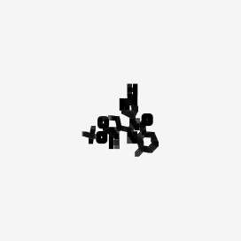 CCC(NC(=O)OC(C)(C)C)c1nc2c(C)cccc2c(=O)n1-c1cn[nH]c1